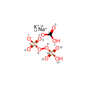 O=C([O-])O.O=S(=O)([O-])OOS(=O)(=O)O.[K+].[Na+]